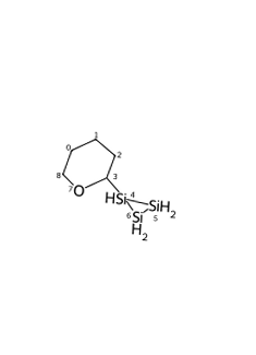 C1CCC([SiH]2[SiH2][SiH2]2)OC1